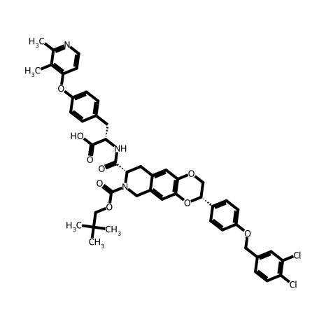 Cc1nccc(Oc2ccc(C[C@H](NC(=O)[C@@H]3Cc4cc5c(cc4CN3C(=O)OCC(C)(C)C)O[C@@H](c3ccc(OCc4ccc(Cl)c(Cl)c4)cc3)CO5)C(=O)O)cc2)c1C